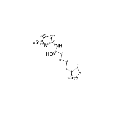 OC(CCCCC1CCSS1)Nc1nc(=S)ss1